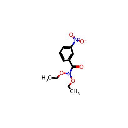 CCON(OCC)C(=O)c1cccc([N+](=O)[O-])c1